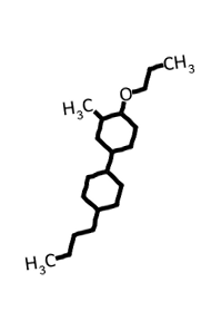 CCCCC1CCC(C2CCC(OCCC)C(C)C2)CC1